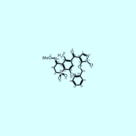 CCn1ncc(C(=O)c2cc(C)c3c(c2C)/C(=N/OC)CCS3(=O)=O)c1OCc1ccccc1